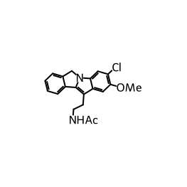 COc1cc2c(CCNC(C)=O)c3n(c2cc1Cl)Cc1ccccc1-3